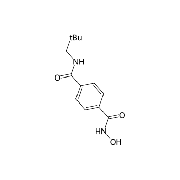 CC(C)(C)CNC(=O)c1ccc(C(=O)NO)cc1